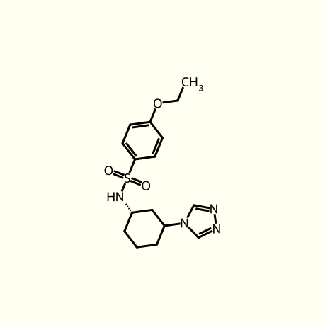 CCOc1ccc(S(=O)(=O)N[C@H]2CCCC(n3cnnc3)C2)cc1